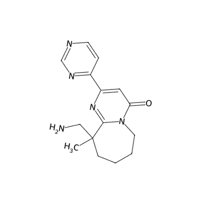 CC1(CN)CCCCn2c1nc(-c1ccncn1)cc2=O